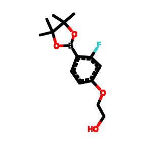 CC1(C)OB(c2ccc(OCCO)cc2F)OC1(C)C